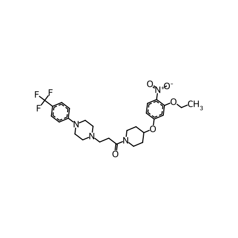 CCOc1cc(OC2CCN(C(=O)CCN3CCN(c4ccc(C(F)(F)F)cc4)CC3)CC2)ccc1[N+](=O)[O-]